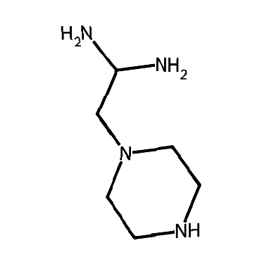 NC(N)CN1CCNCC1